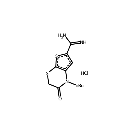 CCCCN1C(=O)CSc2sc(C(=N)N)cc21.Cl